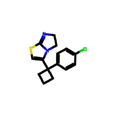 Clc1ccc(C2(C3=CSC4=NCCN34)CCC2)cc1